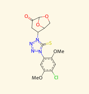 COc1cc(-n2nnn(C3CC(=O)C4OCC3O4)c2=S)c(OC)cc1Cl